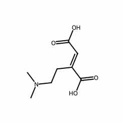 CN(C)CC/C(=C\C(=O)O)C(=O)O